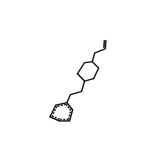 C=CCC1CCC(CCc2cc[c]cc2)CC1